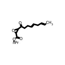 C/C=C/C/C=C/CCC(=O)C1OC1C(=O)OCCC